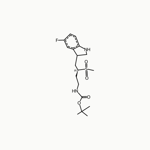 CC(C)(C)OC(=O)NCC[C@@H](CC1CNc2ccc(F)cc21)S(C)(=O)=O